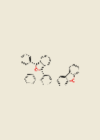 c1ccc(-c2ccc(-c3ccc4oc5ccccc5c4c3)cc2-c2oc(-c3ccccc3)c3ccccc23)cc1